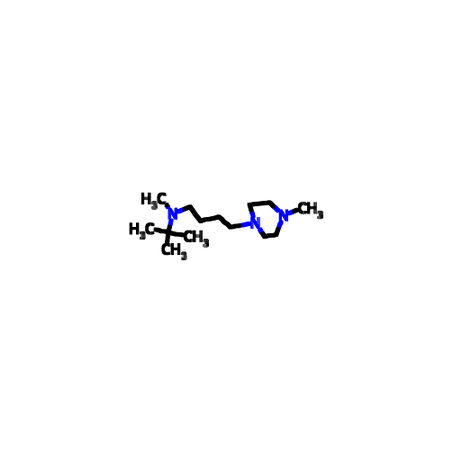 CN1CCN(CCCCN(C)C(C)(C)C)CC1